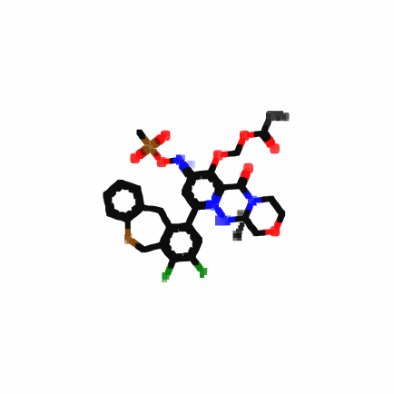 COC(=O)OCOc1c2n(c(-c3cc(F)c(F)c4c3Cc3ccccc3SC4)c/c1=N\OS(C)(=O)=O)N[C@@H]1COCCN1C2=O